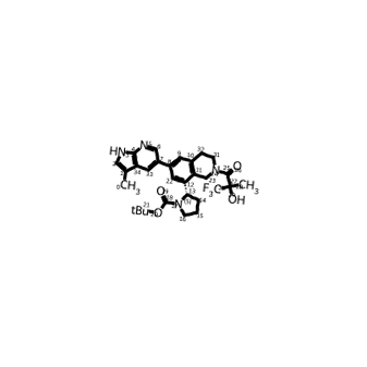 Cc1c[nH]c2ncc(-c3cc4c(c([C@@H]5CCCN5C(=O)OC(C)(C)C)c3)CN(C(=O)C(C)(O)C(F)(F)F)CC4)cc12